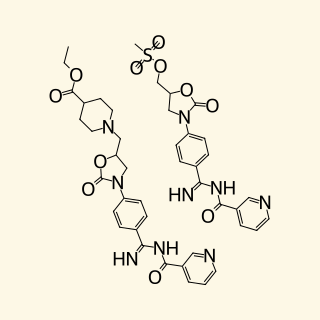 CCOC(=O)C1CCN(CC2CN(c3ccc(C(=N)NC(=O)c4cccnc4)cc3)C(=O)O2)CC1.CS(=O)(=O)OCC1CN(c2ccc(C(=N)NC(=O)c3cccnc3)cc2)C(=O)O1